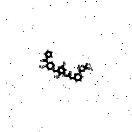 Cc1c(CN2CCN(C(=O)C3CCCC3)[C@@H](C)C2)cc(Cl)cc1NC(=O)CC1CCCN(C(=O)OC(C)(C)C)C1